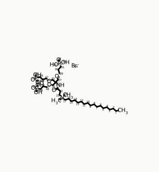 CCCCCCCCCCCCCCCCCC[N+](C)(C)CCC(=O)NC(COCCCP(=O)(O)O)(COCCCP(=O)(O)O)COCCCP(=O)(O)O.[Br-]